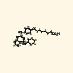 O=C(O)CCCCCCOc1ccc(Nc2nc(NC3CCCCC3)c3scnc3n2)cc1